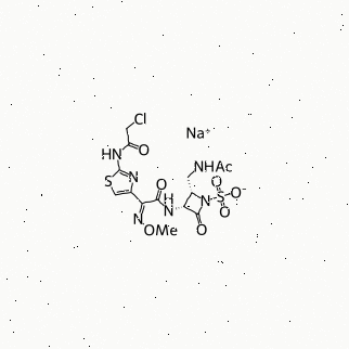 CO/N=C(\C(=O)N[C@H]1C(=O)N(S(=O)(=O)[O-])[C@H]1CNC(C)=O)c1csc(NC(=O)CCl)n1.[Na+]